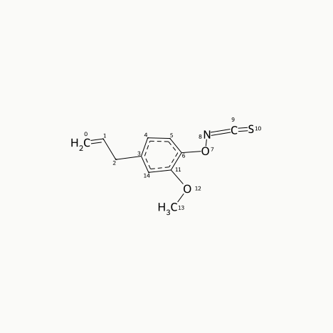 C=CCc1ccc(ON=C=S)c(OC)c1